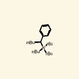 CCCCC(c1ccccc1)[N+](CCCC)(CCCC)CCCC